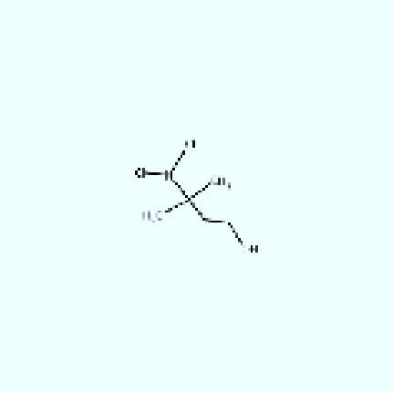 CC(C)(CCO)N(Cl)Cl